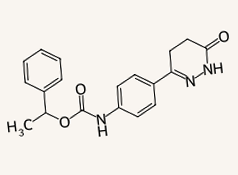 CC(OC(=O)Nc1ccc(C2=NNC(=O)CC2)cc1)c1ccccc1